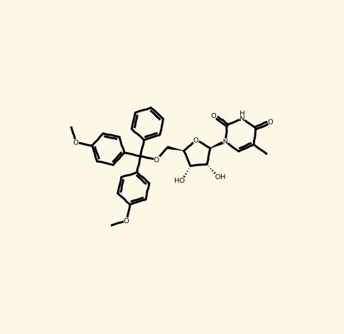 COc1ccc(C(OC[C@H]2O[C@@H](n3cc(C)c(=O)[nH]c3=O)[C@H](O)[C@@H]2O)(c2ccccc2)c2ccc(OC)cc2)cc1